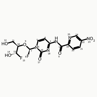 O=C(Nc1ccn([C@@H](F)O[C@H](CO)[C@@H](O)F)c(=O)n1)c1ccc([N+](=O)[O-])cn1